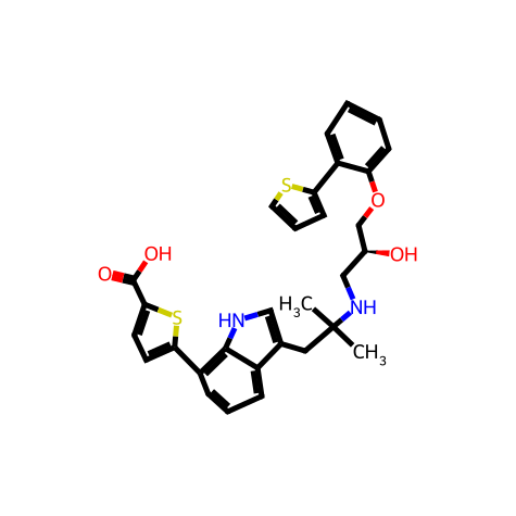 CC(C)(Cc1c[nH]c2c(-c3ccc(C(=O)O)s3)cccc12)NC[C@H](O)COc1ccccc1-c1cccs1